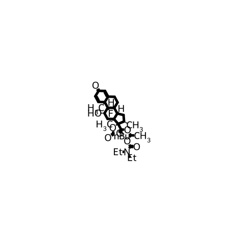 CCCCC(=O)O[C@]1(C(=O)OC(C)OC(=O)N(CC)CC)[C@@H](C)C[C@H]2[C@@H]3CCC4=CC(=O)C=C[C@]4(C)[C@@]3(F)[C@@H](O)C[C@@]21C